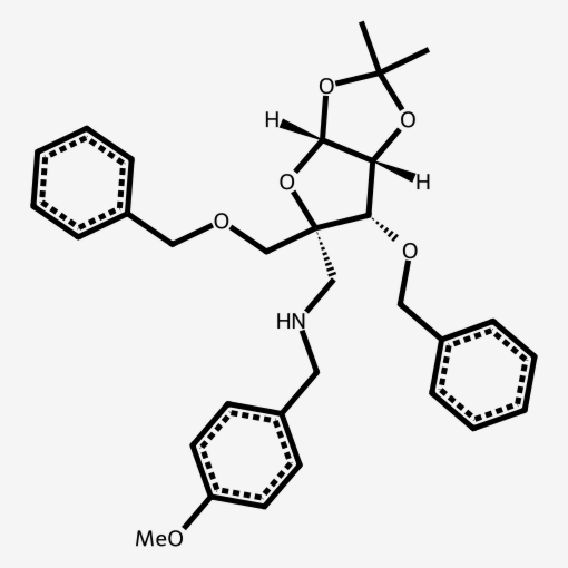 COc1ccc(CNC[C@]2(COCc3ccccc3)O[C@@H]3OC(C)(C)O[C@@H]3[C@@H]2OCc2ccccc2)cc1